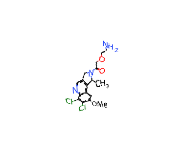 COc1cc2c3c(cnc2c(Cl)c1Cl)CN(C(=O)COCCN)[C@H]3C